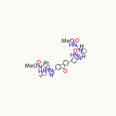 COC(=O)NCC(=O)N1[C@@H]2CC[C@@H](C2)[C@H]1c1nc2ccc(-c3ccc4c(c3)C(=O)c3cc(-c5cnc([C@@H]6CC7(CC7)CN6C(=O)[C@H](NC(=O)OC)C(C)C)[nH]5)ccc3-4)cc2[nH]1